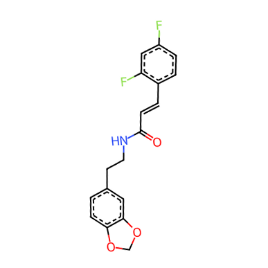 O=C(C=Cc1ccc(F)cc1F)NCCc1ccc2c(c1)OCO2